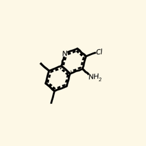 Cc1cc(C)c2ncc(Cl)c(N)c2c1